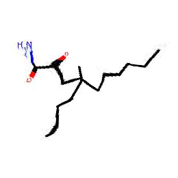 CCCCCCC(C)(CCCC)CC(=O)C(N)=O